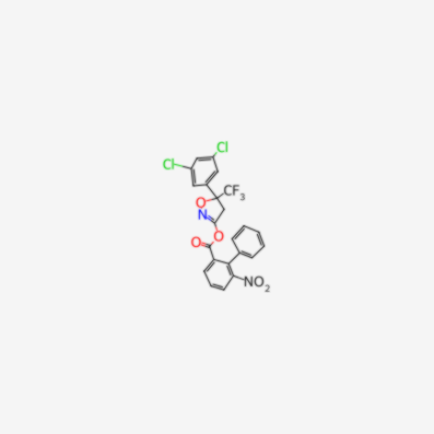 O=C(OC1=NOC(c2cc(Cl)cc(Cl)c2)(C(F)(F)F)C1)c1cccc([N+](=O)[O-])c1-c1ccccc1